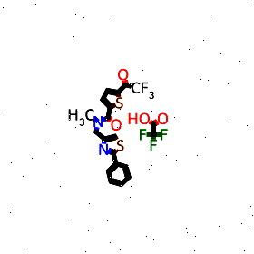 CN(Cc1csc(-c2ccccc2)n1)C(=O)c1ccc(C(=O)C(F)(F)F)s1.O=C(O)C(F)(F)F